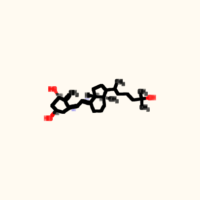 C=C1/C(=C\C=C2/CCC[C@]3(C)C(C(C)CCCC(C)(C)O)CC[C@@H]23)C[C@@H](O)C[C@@H]1O